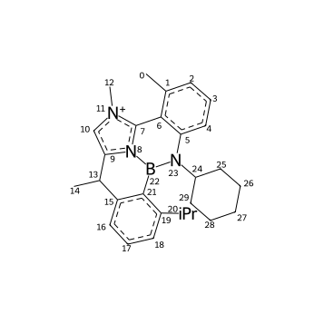 Cc1cccc2c1-c1n3c(c[n+]1C)C(C)c1cccc(C(C)C)c1B3N2C1CCCCC1